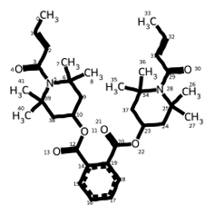 CC=CC(=O)N1C(C)(C)CC(OC(=O)c2ccccc2C(=O)OC2CC(C)(C)N(C(=O)C=CC)C(C)(C)C2)CC1(C)C